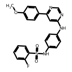 COc1ccc(-c2cc(Nc3ccc(NS(=O)(=O)c4ccccc4F)cc3)ncn2)cc1